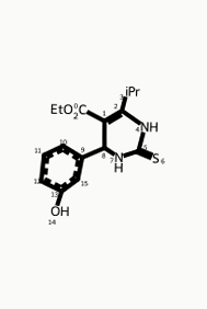 CCOC(=O)C1=C(C(C)C)NC(=S)NC1c1cccc(O)c1